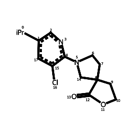 CC(C)c1cnc(N2CCC3(CCOC3=O)C2)c(Cl)c1